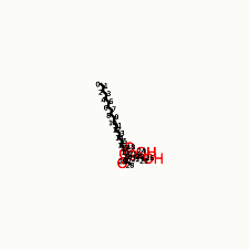 CCCCCCCCCCCCCCCCCC(=O)OC(OCC(O)CO)C(C)=O